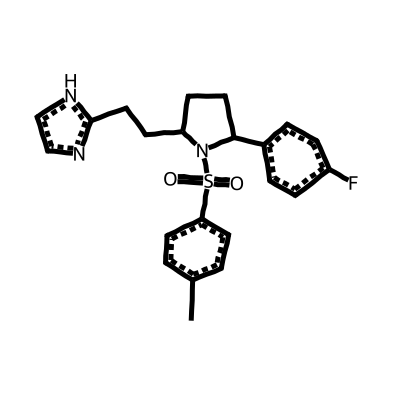 Cc1ccc(S(=O)(=O)N2C(CCc3ncc[nH]3)CCC2c2ccc(F)cc2)cc1